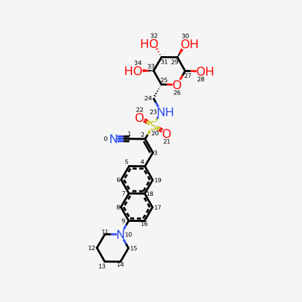 N#C/C(=C\c1ccc2cc(N3CCCCC3)ccc2c1)S(=O)(=O)NC[C@H]1OC(O)[C@H](O)[C@@H](O)[C@@H]1O